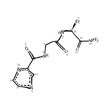 CC[C@H](NC(=O)CNC(=O)c1cnccn1)C(N)=O